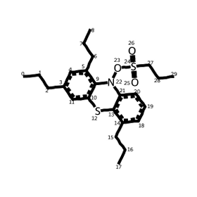 CCCc1cc(CCC)c2c(c1)Sc1c(CCC)cccc1N2OS(=O)(=O)CCC